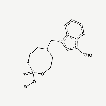 CCOP1(=S)OCCN(Cn2cc(C=O)c3ccccc32)CCO1